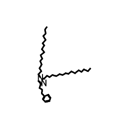 CCCCCCCCCCCCCCCCn1cc(CCCc2ccccc2)nc1CCCCCCCCCCCCCCC